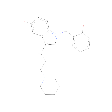 OC(CCN1CCCCC1)c1cn(Cc2ccccc2Br)c2ccc(Br)cc12